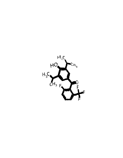 CC(C)c1cc(C(=O)c2c(F)cccc2C(F)(F)F)cc(C(C)C)c1O